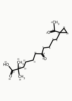 CC(=O)C1(CCCCC(=O)CCCCC(C)(C)C(=O)O)CC1